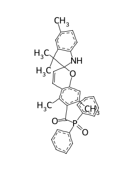 Cc1ccc2c(c1)C(C)(C)C1(C=Cc3c(cc(C)c(C(=O)P(=O)(c4ccccc4)c4ccccc4)c3C)O1)N2